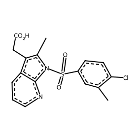 Cc1cc(S(=O)(=O)n2c(C)c(CC(=O)O)c3cccnc32)ccc1Cl